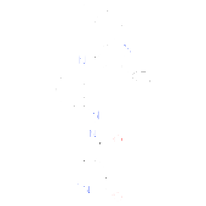 Cc1ccc2nc(C(F)(F)F)cc(N[C@H]3CCCC(NNC(=O)C4=CC=NC(=O)C4)C3)c2c1